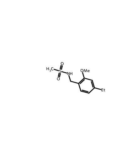 CCc1ccc(CNS(C)(=O)=O)c(OC)c1